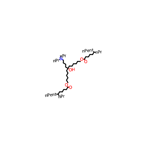 CCCCCC(CCC)CCCCC(=O)OCCCCCCC(O)(CCCCCCOC(=O)CCCCC(CCC)CCCCC)CCCCN(CCC)CCC